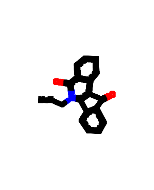 CNCn1c2c(c3ccccc3c1=O)C(=O)c1ccccc1-2